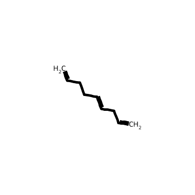 C=CCC=CCCC=C